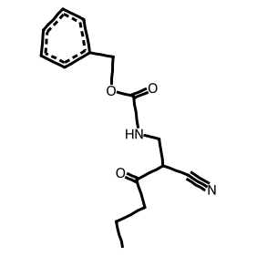 CCCC(=O)C(C#N)CNC(=O)OCc1ccccc1